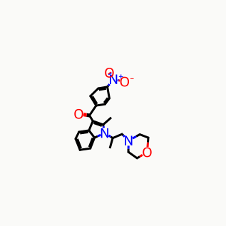 Cc1c(C(=O)c2ccc([N+](=O)[O-])cc2)c2ccccc2n1C(C)CN1CCOCC1